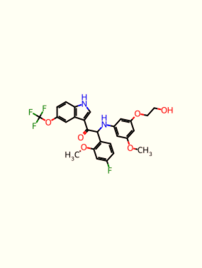 COc1cc(NC(C(=O)c2c[nH]c3ccc(OC(F)(F)F)cc23)c2ccc(F)cc2OC)cc(OCCO)c1